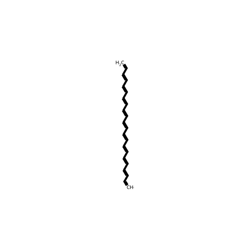 [CH]=CC=CC=CC=CC=CC=CC=CC=CC=CC=CC=C